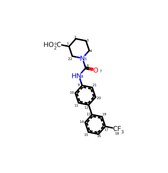 O=C(O)C1CCCN(C(=O)Nc2ccc(-c3cccc(C(F)(F)F)c3)cc2)C1